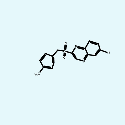 Cc1ccc(CS(=O)(=O)c2cnc3cc(Cl)ccc3n2)cc1